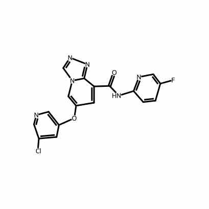 O=C(Nc1ccc(F)cn1)c1cc(Oc2cncc(Cl)c2)cn2cnnc12